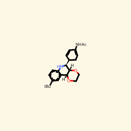 CC(=O)NC1=CCC([C@@H]2Nc3ccc(C(C)(C)C)cc3[C@H]3OCCO[C@H]32)C=C1